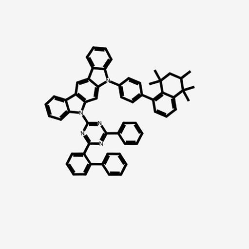 CC1CC(C)(C)c2c(-c3ccc(-n4c5ccccc5c5cc6c7ccccc7n(-c7nc(-c8ccccc8)nc(-c8ccccc8-c8ccccc8)n7)c6cc54)cc3)cccc2C1(C)C